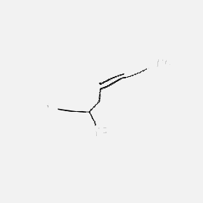 CCCCC=CC(C(F)(F)F)C(F)(F)F